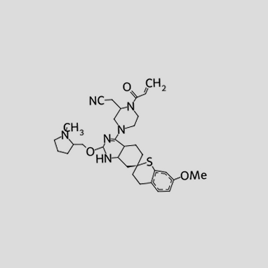 C=CC(=O)N1CCN(C2=NC(OCC3CCCN3C)NC3C[C@@]4(CCc5ccc(OC)cc5S4)CCC23)CC1CC#N